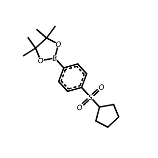 CC1(C)OB(c2ccc(S(=O)(=O)C3CCCC3)cc2)OC1(C)C